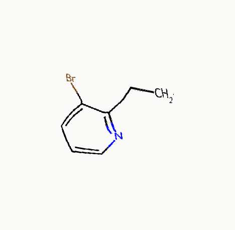 [CH2]Cc1ncccc1Br